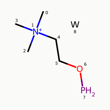 C[N+](C)(C)CCOP.[W]